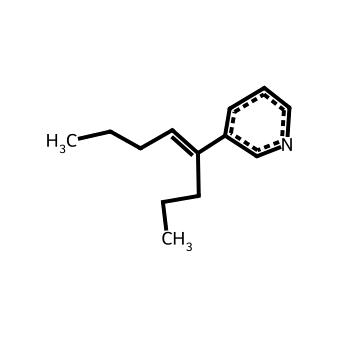 CCC/C=C(\CCC)c1cccnc1